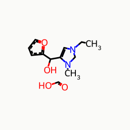 CCN1C=C(C(O)c2ccco2)N(C)C1.O=CO